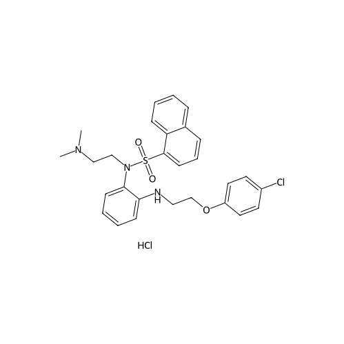 CN(C)CCN(c1ccccc1NCCOc1ccc(Cl)cc1)S(=O)(=O)c1cccc2ccccc12.Cl